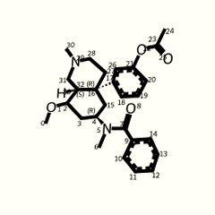 COC1C[C@H](N(C)C(=O)c2ccccc2)C[C@]2(c3cccc(OC(C)=O)c3)CCN(C)C[C@@H]12